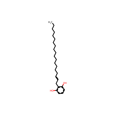 CCCCCCCCCCCCCCCCC=CCc1c(O)cccc1O